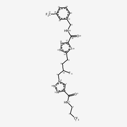 O=C(NCCC(F)(F)F)c1cn(CC(F)CCc2nnc(C(=O)NCc3cccc(C(F)(F)F)c3)s2)nn1